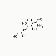 N[C@@H](C=O)[C@@H](O)[C@H](O)[C@H](O)COC(=O)CO